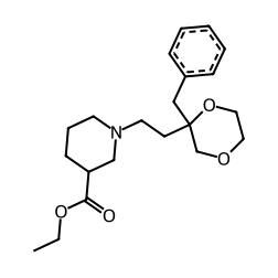 CCOC(=O)C1CCCN(CCC2(Cc3ccccc3)COCCO2)C1